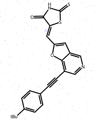 CC(C)(C)c1ccc(C#Cc2cncc3cc(/C=C4\SC(=S)NC4=O)oc23)cc1